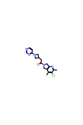 Cc1nc2c(c(C)c1Cl)CN(C(=O)CC1CN(c3ccncn3)C1)C2